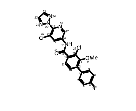 COc1c(-c2ccc(F)cc2)ccc(C(=O)Nc2cnc(-n3nccn3)c(Cl)c2)c1Cl